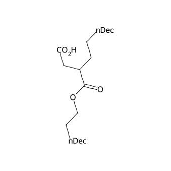 CCCCCCCCCCCCOC(=O)C(CCCCCCCCCCCC)CC(=O)O